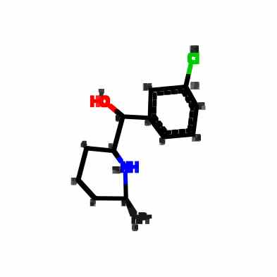 CCC[C@H]1CCCC(C(O)c2cccc(Cl)c2)N1